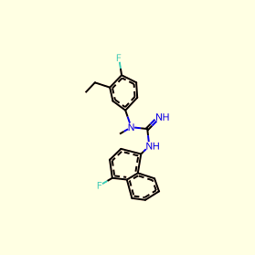 CCc1cc(N(C)C(=N)Nc2ccc(F)c3ccccc23)ccc1F